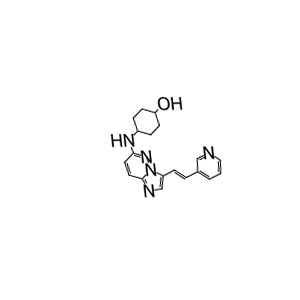 OC1CCC(Nc2ccc3ncc(C=Cc4cccnc4)n3n2)CC1